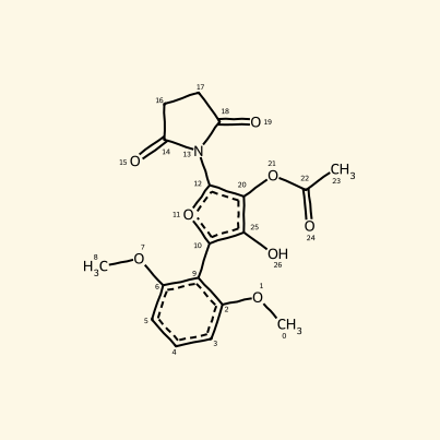 COc1cccc(OC)c1-c1oc(N2C(=O)CCC2=O)c(OC(C)=O)c1O